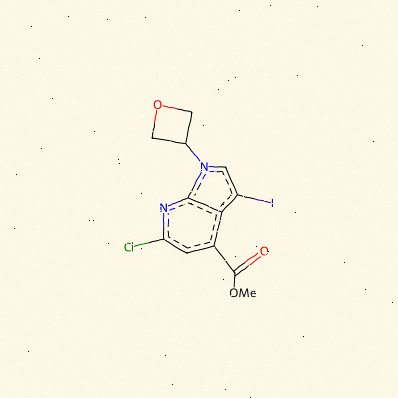 COC(=O)c1cc(Cl)nc2c1c(I)cn2C1COC1